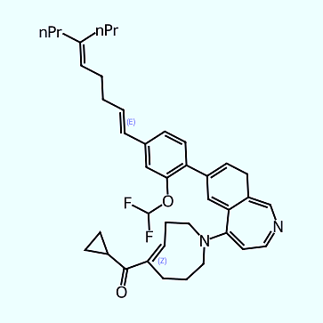 CCCC(=CCC/C=C/c1ccc(C2=CCC3=CN=CC=C(N4CC/C=C(\C(=O)C5CC5)CCC4)C3=C2)c(OC(F)F)c1)CCC